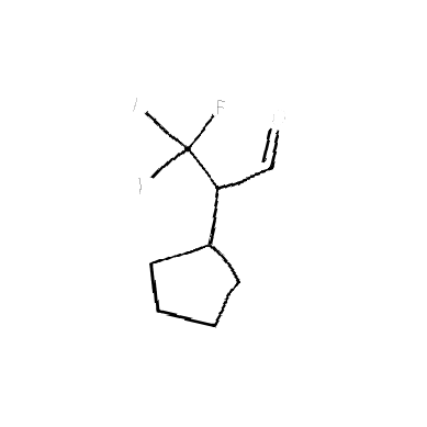 O=CC(C1CCCC1)C(F)(F)F